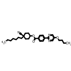 CCCCCCCC1(C#N)CCC(OC(=O)c2ccc(-c3ncc(OCCCC)cn3)cc2)CC1